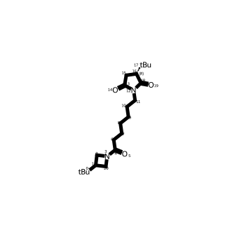 CC(C)(C)C1CN(C(=O)CCCCCCN2C(=O)C[C@H](C(C)(C)C)C2=O)C1